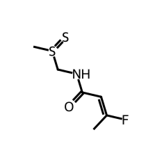 C/C(F)=C\C(=O)NCS(C)=S